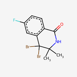 CC1(C)NC(=O)c2ccc(F)cc2C1(Br)Br